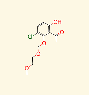 COCCOCOc1c(Cl)ccc(O)c1C(C)=O